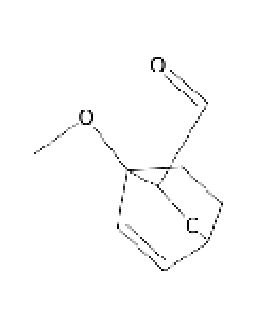 COC12C=CC(CC1)CC2C=O